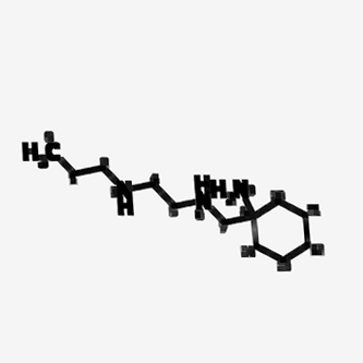 CCCNCCNCC1(N)CCCCC1